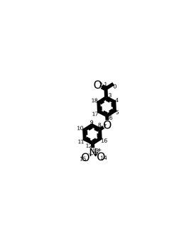 CC(=O)c1ccc(Oc2cccc([N+](=O)[O-])c2)cc1